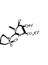 CCOC(=O)c1nc(N2CCCCS2(=O)=O)n(C)c(=O)c1O